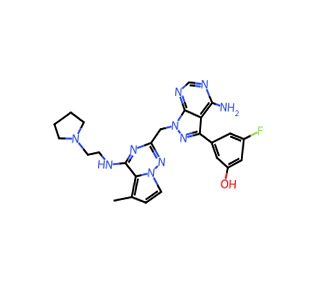 Cc1ccn2nc(Cn3nc(-c4cc(O)cc(F)c4)c4c(N)ncnc43)nc(NCCN3CCCC3)c12